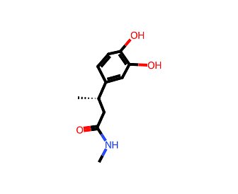 CNC(=O)C[C@H](C)c1ccc(O)c(O)c1